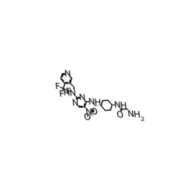 NCC(=O)N[C@H]1CC[C@H](CNc2nc(NCc3cnccc3C(F)(F)F)ncc2[N+](=O)[O-])CC1